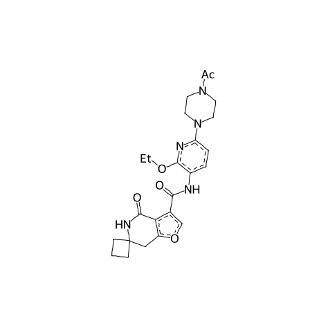 CCOc1nc(N2CCN(C(C)=O)CC2)ccc1NC(=O)c1coc2c1C(=O)NC1(CCC1)C2